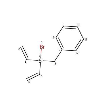 C=C[Si](Br)(C=C)Cc1ccccc1